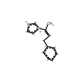 CC(=CCc1ccccc1)n1ccnc1